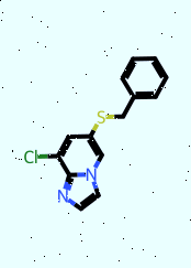 Clc1cc(SCc2ccccc2)cn2ccnc12